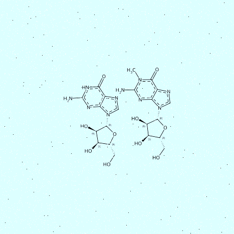 Cn1c(N)nc2c(ncn2[C@@H]2O[C@H](CO)[C@@H](O)[C@H]2O)c1=O.Nc1nc2c(ncn2[C@@H]2O[C@H](CO)[C@@H](O)[C@H]2O)c(=O)[nH]1